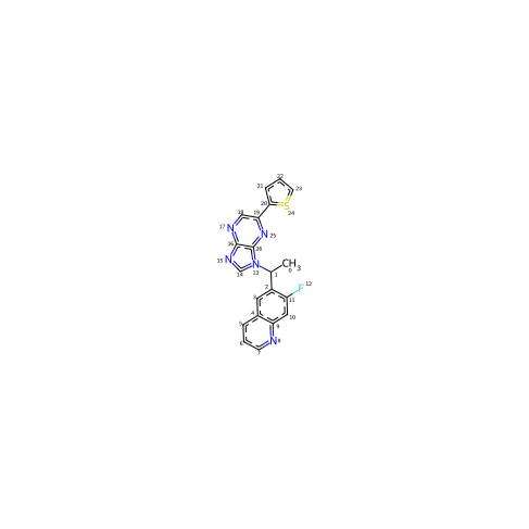 CC(c1cc2cccnc2cc1F)n1cnc2ncc(-c3cccs3)nc21